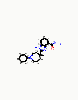 CC1(c2nc3c(C(N)=O)cccc3[nH]2)CCCN(C2CCCCC2)CC1